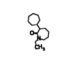 CCN1CCCCC(C2CCCCCC2)C1=O